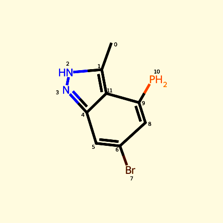 Cc1[nH]nc2cc(Br)cc(P)c12